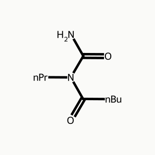 CCCCC(=O)N(CCC)C(N)=O